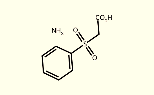 N.O=C(O)CS(=O)(=O)c1ccccc1